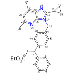 CCOC(=O)CC(c1ccccc1)c1ccc(Cn2c(C3CC3)nc3c(C)cc(C)nc32)cc1